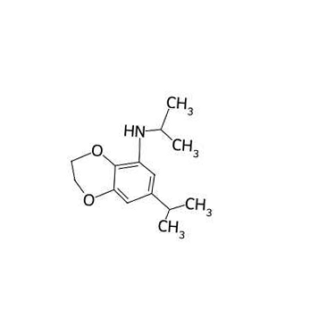 CC(C)Nc1cc(C(C)C)cc2c1OCCO2